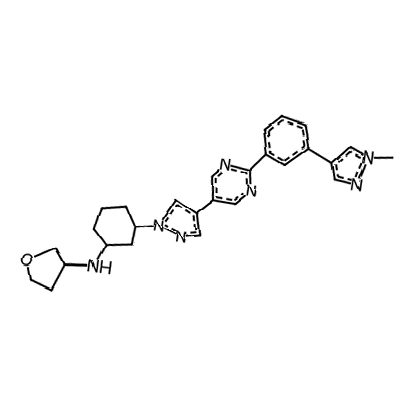 Cn1cc(-c2cccc(-c3ncc(-c4cnn(C5CCCC(NC6CCOC6)C5)c4)cn3)c2)cn1